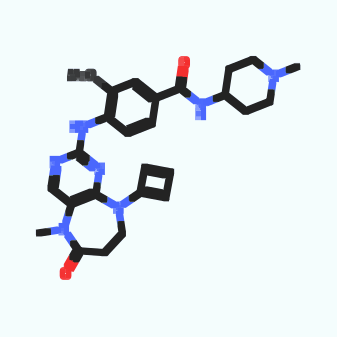 COc1cc(C(=O)NC2CCN(C)CC2)ccc1Nc1ncc2c(n1)N(C1=CC=C1)CCC(=O)N2C